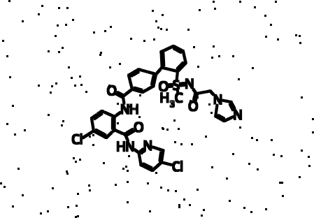 CS(=O)(=NC(=O)Cn1ccnc1)c1ccccc1-c1ccc(C(=O)Nc2ccc(Cl)cc2C(=O)Nc2ccc(Cl)cn2)cc1